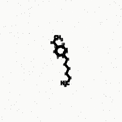 CCCCCCc1ccc(CC)cn1